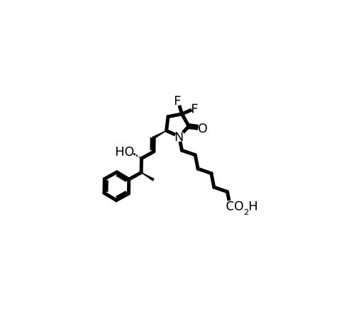 C[C@@H](c1ccccc1)[C@H](O)C=C[C@H]1CC(F)(F)C(=O)N1CCCCCCC(=O)O